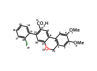 COc1cc2c(cc1OC)-c1cc(C(=O)O)c(-c3ccccc3F)cc1OC2